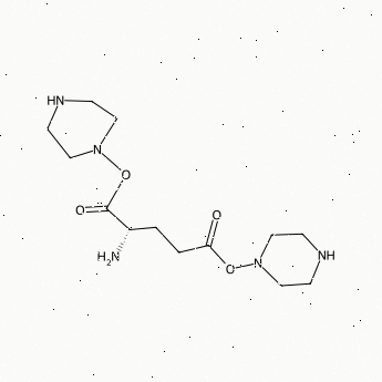 N[C@@H](CCC(=O)ON1CCNCC1)C(=O)ON1CCNCC1